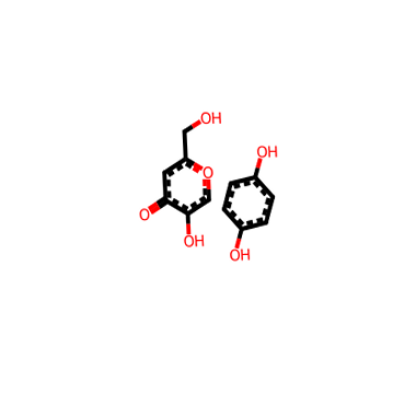 O=c1cc(CO)occ1O.Oc1ccc(O)cc1